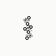 CC(C)(c1ccccc1-c1ccc(OP(=O)(O)Oc2ccccc2)cc1)c1ccccc1-c1ccc(OP(=O)(O)Oc2ccccc2)cc1